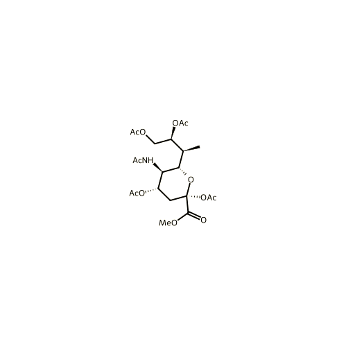 COC(=O)[C@@]1(OC(C)=O)C[C@H](OC(C)=O)[C@@H](NC(C)=O)[C@H]([C@H](C)[C@@H](COC(C)=O)OC(C)=O)O1